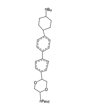 CCCCCC1COC(c2ccc(-c3ccc(C4CCC(CCCC)CC4)cc3)cc2)CO1